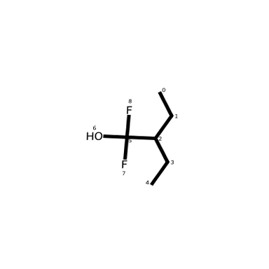 CCC(CC)C(O)(F)F